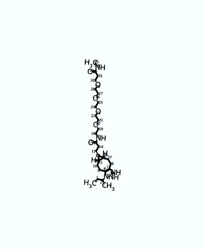 CCC(C)N1NNC2=C1CC[C@H]1[C@@H](CCC(=O)NCCOCCOCCOCCOCCC(=O)NC)[C@H]1CC2